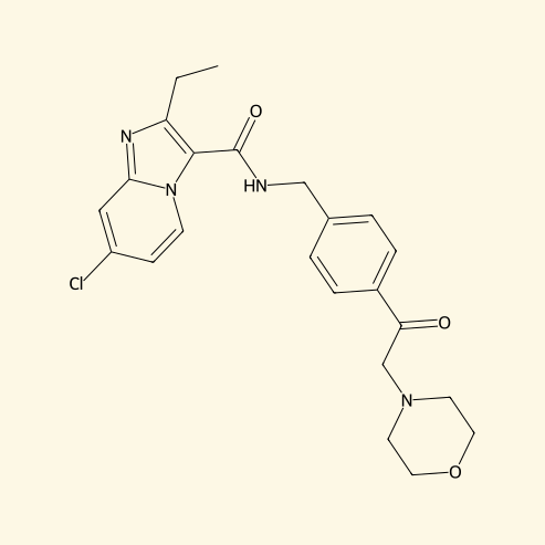 CCc1nc2cc(Cl)ccn2c1C(=O)NCc1ccc(C(=O)CN2CCOCC2)cc1